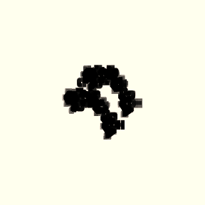 CC(OC(=O)Nc1c(C#N)noc1-c1ccc(OCC(CC2CC2)C(=O)O)nc1)c1ccccc1.CC(OC(=O)Nc1c(C#N)noc1-c1ccc(OCC(CC2CC2)C(=O)O)nc1)c1ccccc1Cl